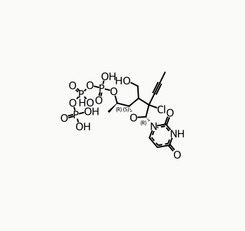 CC#CC1(Cl)C(CO)[C@@H]([C@@H](C)OP(=O)(O)OP(=O)(O)OP(=O)(O)O)O[C@H]1n1ccc(=O)[nH]c1=O